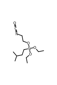 CCO[Si](CCC(C)C)(OCC)OCCN=C=O